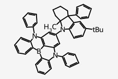 CC(C)(C)c1ccc2c(c1)C1(c3ccccc3)CCCCC1(C)N2c1cc2c3c(c1)N(c1ccccc1)c1ccccc1B3c1ccccc1N2c1ccccc1